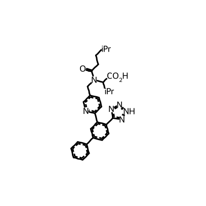 CC(C)CCC(=O)N(Cc1ccc(-c2cc(-c3ccccc3)ccc2-c2nn[nH]n2)nc1)C(C(=O)O)C(C)C